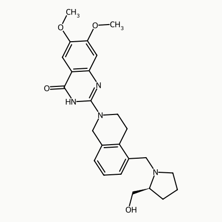 COc1cc2nc(N3CCc4c(cccc4CN4CCC[C@H]4CO)C3)[nH]c(=O)c2cc1OC